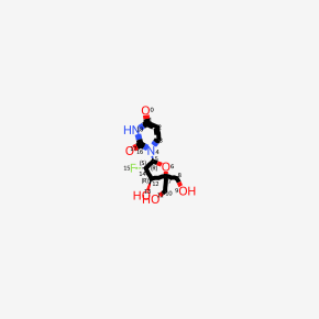 O=c1ccn([C@@H]2OC(CO)(CO)[C@@H](O)[C@@H]2F)c(=O)[nH]1